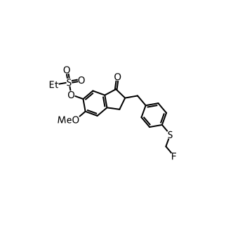 CCS(=O)(=O)Oc1cc2c(cc1OC)CC(Cc1ccc(SCF)cc1)C2=O